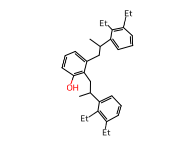 CCc1cccc(C(C)Cc2cccc(O)c2CC(C)c2cccc(CC)c2CC)c1CC